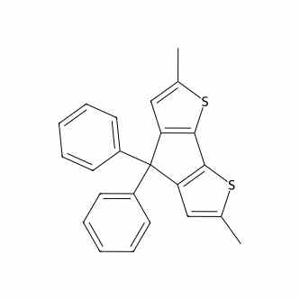 Cc1cc2c(s1)-c1sc(C)cc1C2(c1ccccc1)c1ccccc1